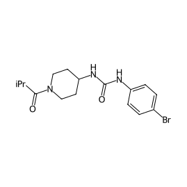 CC(C)C(=O)N1CCC(NC(=O)Nc2ccc(Br)cc2)CC1